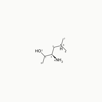 CC(O)[C@H](N)C[SH](C)C